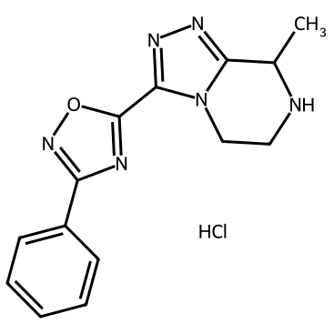 CC1NCCn2c(-c3nc(-c4ccccc4)no3)nnc21.Cl